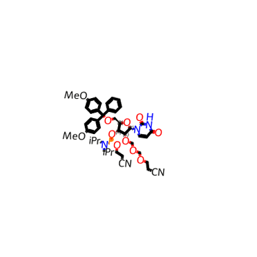 COc1ccc(C(OC[C@H]2O[C@@H](n3ccc(=O)[nH]c3=O)[C@H](OCOCOCCC#N)[C@@H]2OP(OCCC#N)N(C(C)C)C(C)C)(c2ccccc2)c2ccc(OC)cc2)cc1